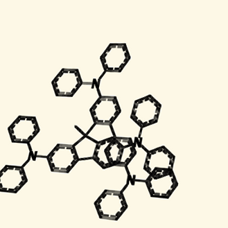 CC1(c2cc(N(c3ccccc3)c3ccccc3)ccc2-c2ccc(N(c3ccccc3)c3ccccc3)cc2)c2cc(N(c3ccccc3)c3ccccc3)ccc2-c2ccc(N(c3ccccc3)c3ccccc3)cc21